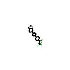 C=CC1CCC(c2ccc(C3CCC(/C(F)=C/C(F)(F)F)CC3)cc2)CC1